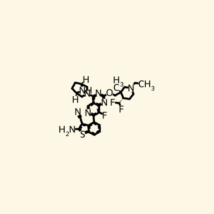 CCN1CC[C@H](C(F)F)[C@](C)(COc2nc(N3C[C@H]4CC[C@@H](C3)N4)c3cnc(-c4cccc5sc(N)c(C#N)c45)c(F)c3n2)C1